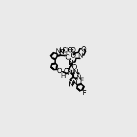 COC(=O)C1COCCN1CCCN1CCCc2c3c(cccc3nn2C)-c2cccc(c2)O[C@H]2C[C@@H](C1=O)N(c1ncnc3c1cnn3-c1ccc(F)cc1F)C2